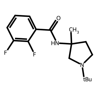 CC1(NC(=O)c2cccc(F)c2F)CCN(C(C)(C)C)C1